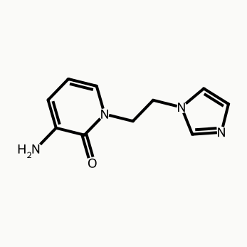 Nc1cccn(CCn2ccnc2)c1=O